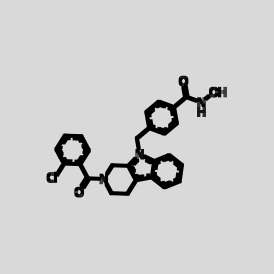 O=C(NO)c1ccc(Cn2c3c(c4ccccc42)CCN(C(=O)c2ccccc2Cl)C3)cc1